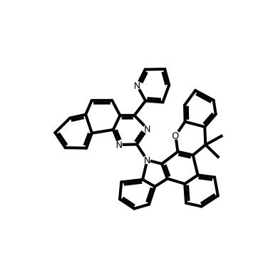 CC1(C)c2ccccc2Oc2c1c1ccccc1c1c3ccccc3n(-c3nc(-c4ccccn4)c4ccc5ccccc5c4n3)c21